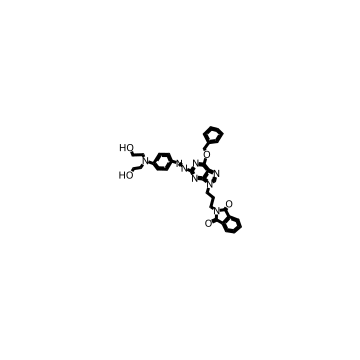 O=C1c2ccccc2C(=O)N1CCCn1cnc2c(OCc3ccccc3)nc(N=Nc3ccc(N(CCO)CCO)cc3)nc21